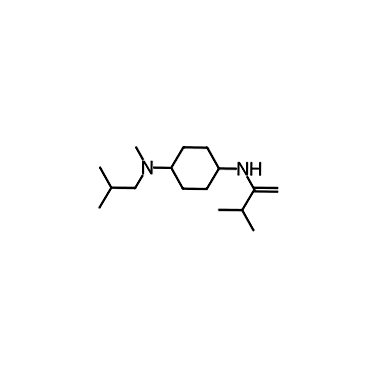 C=C(NC1CCC(N(C)CC(C)C)CC1)C(C)C